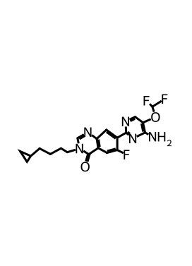 Nc1nc(-c2cc3ncn(CCCCC4CC4)c(=O)c3cc2F)ncc1OC(F)F